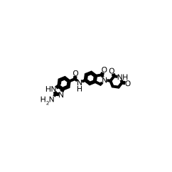 Nc1nc2cc(C(=O)Nc3ccc4c(c3)CN(C3CCC(=O)NC3=O)C4=O)ccc2[nH]1